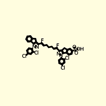 O=S(=O)(O)c1ccc2c(c1)Cc1c(/C(F)=C/CCC/C=C(\F)c3nn(-c4ccc(Cl)cc4Cl)c4c3Cc3ccccc3-4)nn(-c3ccc(Cl)cc3Cl)c1-2